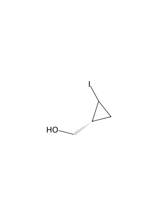 OC[C@H]1CC1I